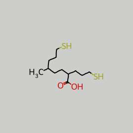 CC(CCCS)CCC(CCCS)C(=O)O